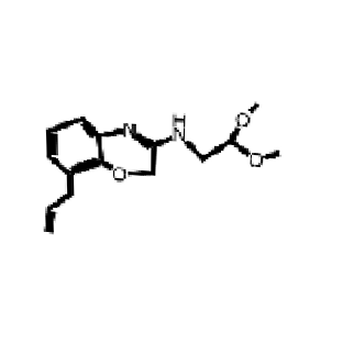 C=CCc1cccc2c1OCC(NCC(OC)OC)=N2